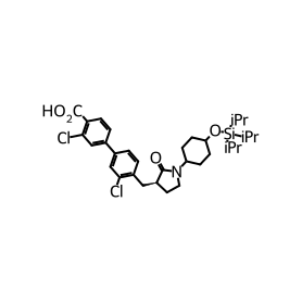 CC(C)[Si](OC1CCC(N2CC[C@@H](Cc3ccc(-c4ccc(C(=O)O)c(Cl)c4)cc3Cl)C2=O)CC1)(C(C)C)C(C)C